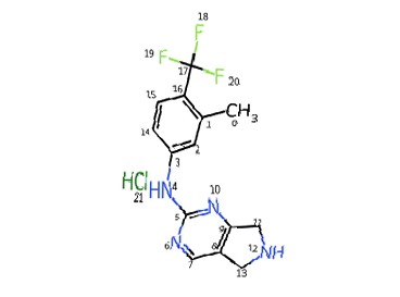 Cc1cc(Nc2ncc3c(n2)CNC3)ccc1C(F)(F)F.Cl